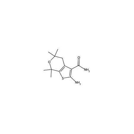 CC1(C)Cc2c(sc(N)c2C(N)=O)C(C)(C)O1